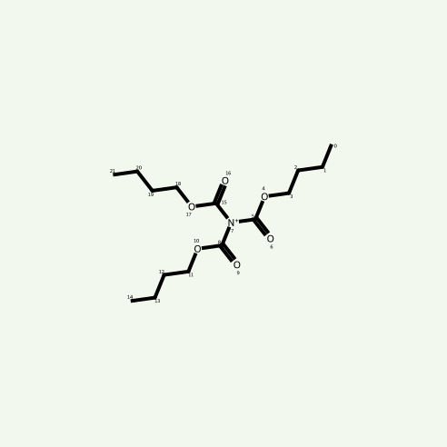 CCCCOC(=O)[N+](C(=O)OCCCC)C(=O)OCCCC